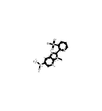 CCS(=O)(=O)c1cccnc1-c1nc2cc([S+]([O-])C(F)(F)F)cnc2n1C